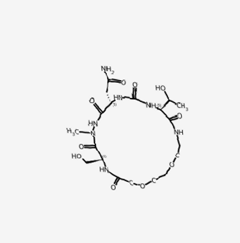 CC(O)[C@@H]1NC(=O)N[C@@H](CC(N)=O)C(=O)NN(C)C(=O)[C@H](CO)NC(=O)COCCOCCNC1=O